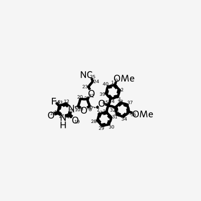 COc1ccc(C(OC[C@@H]2O[C@H](n3cc(F)c(=O)[nH]c3=O)CC2OCCC#N)(c2ccccc2)c2ccc(OC)cc2)cc1